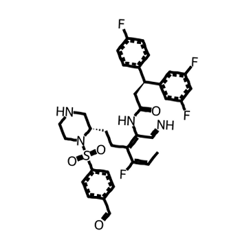 C/C=C(F)\C(CC[C@H]1CNCCN1S(=O)(=O)c1ccc(C=O)cc1)=C(/C=N)NC(=O)C[C@@H](c1ccc(F)cc1)c1cc(F)cc(F)c1